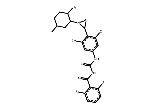 CC1CCC(C(C)C)C(N2OC2c2c(Cl)cc(NC(=O)NC(=O)c3c(F)cccc3F)cc2Cl)C1